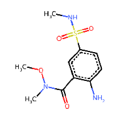 CNS(=O)(=O)c1ccc(N)c(C(=O)N(C)OC)c1